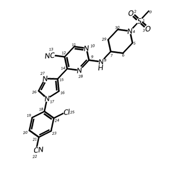 CS(=O)(=O)N1CCC(Nc2ncc(C#N)c(-c3cn(-c4ccc(C#N)cc4Cl)cn3)n2)CC1